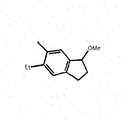 CCc1cc2c(cc1C)C(OC)CC2